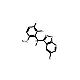 COc1ccc(F)c(Cl)c1[C@H](C)c1n[nH]c2ncc(Br)cc12